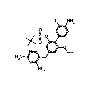 CCOc1cc(Cc2cnc(N)nc2N)cc(OS(=O)(=O)CC(C)(C)C)c1-c1ccc(N)c(F)c1